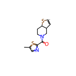 Cc1cnc(C(=O)N2CCC3S[C]=CC3C2)s1